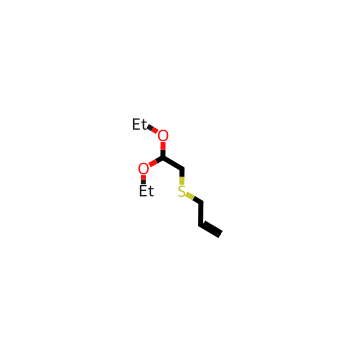 C=CCSCC(OCC)OCC